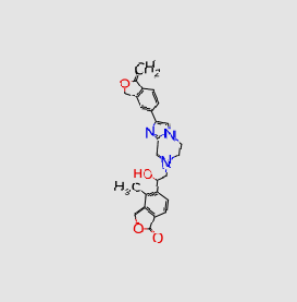 C=C1OCc2cc(-c3cn4c(n3)CN(CC(O)c3ccc5c(c3C)COC5=O)CC4)ccc21